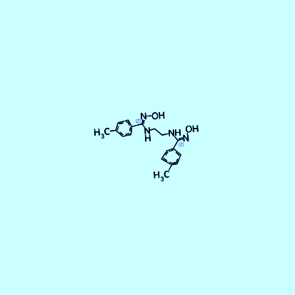 Cc1ccc(/C(=N/O)NCCN/C(=N\O)c2ccc(C)cc2)cc1